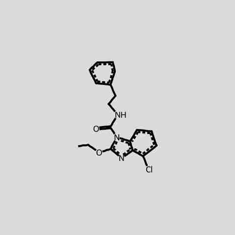 CCOc1nc2c(Cl)cccc2n1C(=O)NCCc1ccccc1